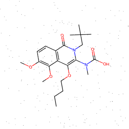 CCCCOc1c(N(C)C(=O)O)n(CC(C)(C)C)c(=O)c2ccc(OC)c(OC)c12